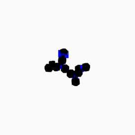 CC1(C)c2ccccc2-c2ccc(N(c3ccc(-c4ccc5c(c4)c4c6ccn(-c7ccccc7)c6ccc4n5-c4ccccc4)cc3)c3ccc(-c4ncccn4)cc3)cc21